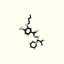 CCCCOc1cc(C(=O)OC[C@H](C(C)C)N2CCCCC2)ccc1O